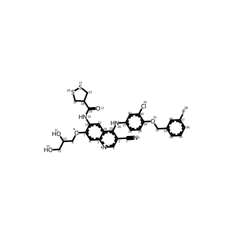 N#Cc1cnc2cc(OCC(O)CO)c(NC(=O)C3CSSC3)cc2c1Nc1ccc(OCc2cccc(F)c2)c(Cl)c1